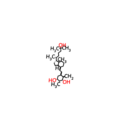 C=C1/C(=C/C=C2\CCC[C@]3(C)[C@@H]([C@H](C)CCCC(C)(C)O)CC[C@@H]23)C[C@@H](O)[C@@H](C)[C@H]1O